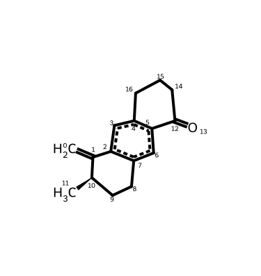 C=C1c2cc3c(cc2CC[C@H]1C)C(=O)CCC3